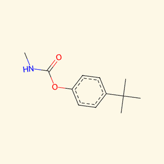 CNC(=O)Oc1ccc(C(C)(C)C)cc1